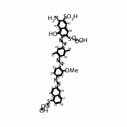 COc1cc(/N=N/c2ccc3c(SOOO)cccc3c2)ccc1/N=N/c1cc(C)c(/N=N/c2c(SOOO)cc3cc(S(=O)(=O)O)c(N)cc3c2O)cc1C